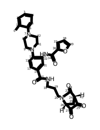 Cc1ccccc1N1CCN(c2ccc(C(=O)NCCCN3C(=O)[C@H]4C[C@@H]3C(=O)C4=O)cc2NC(=O)c2ccco2)CC1